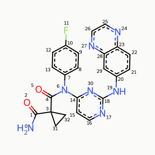 NC(=O)C1(C(=O)N(c2ccc(F)cc2)c2ccnc(Nc3ccc4nccnc4c3)n2)CC1